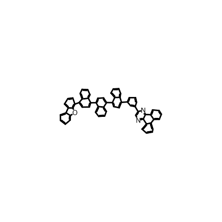 c1cc(-c2cnc3c4ccccc4c4ccccc4c3n2)cc(-c2ccc(-c3ccc(-c4ccc(-c5cccc6c5oc5ccccc56)c5ccccc45)c4ccccc34)c3ccccc23)c1